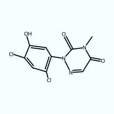 Cn1c(=O)cnn(-c2cc(O)c(Cl)cc2Cl)c1=O